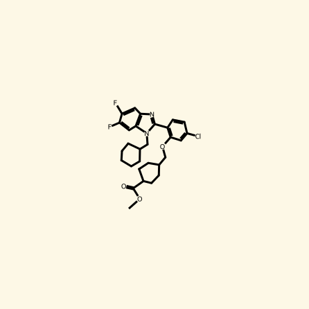 COC(=O)C1CCC(COc2cc(Cl)ccc2-c2nc3cc(F)c(F)cc3n2CC2CCCCC2)CC1